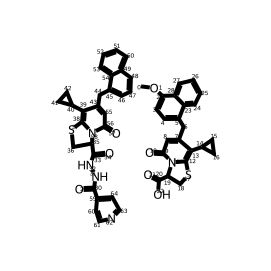 COc1ccc(Cc2cc(=O)n3c(c2C2CC2)SCC3C(=O)O)c2ccccc12.O=C(NNC(=O)C1CSc2c(C3CC3)c(Cc3cccc4ccccc34)cc(=O)n21)c1ccncc1